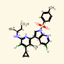 Cc1ccc(S(=O)(=O)n2cc(-c3nc(N[C@H](CC(=O)O)C(C)(C)C)c(F)c(C4CC4)c3C#N)c3cc(F)cnc32)cc1